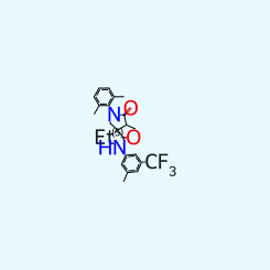 CC[C@@]1(C(=O)Nc2cc(C)cc(C(F)(F)F)c2)CN(c2c(C)cccc2C)C(=O)C1C